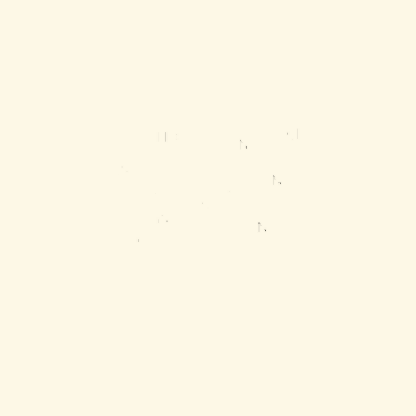 COC1(c2sc3c(N4CCOCC4)nc(Cl)nc3c2C)COC1